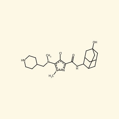 CN(CC1CCNCC1)c1c(Cl)c(C(=O)NC2C3CC4CC2CC(O)(C4)C3)nn1C